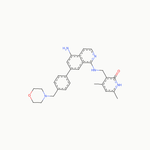 Cc1cc(C)c(CNc2nccc3c(N)cc(-c4ccc(CN5CCOCC5)cc4)cc23)c(=O)[nH]1